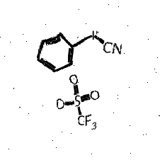 N#C[I+]c1ccccc1.O=S(=O)([O-])C(F)(F)F